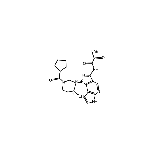 CNC(=O)C(=O)Nc1nn([C@@H]2CN(C(=O)N3CCCC3)CC[C@@H]2C)c2c1cnc1[nH]ccc12